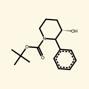 CC(C)(C)OC(=O)N1CCC[C@H](O)C1c1ccccc1